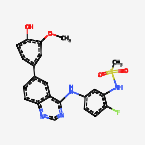 COc1cc(-c2ccc3ncnc(Nc4ccc(F)c(NS(C)(=O)=O)c4)c3c2)ccc1O